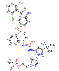 CC(C)(C)c1cc(NC(=O)N[C@H]2CC[C@@H](Oc3ccc4nnc(-c5c(Cl)cccc5Cl)n4c3)c3ccccc32)n(-c2cnn(CCOS(C)(=O)=O)c2)n1